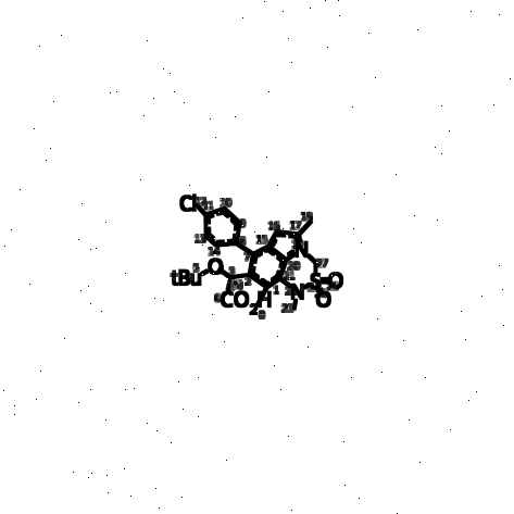 Cc1c([C@H](OC(C)(C)C)C(=O)O)c(-c2ccc(Cl)cc2)c2cc(C)n3c2c1N(C)S(=O)(=O)C3